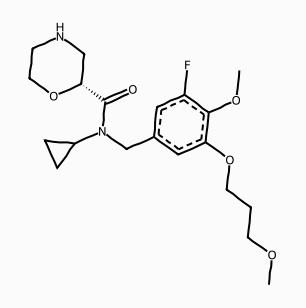 COCCCOc1cc(CN(C(=O)[C@H]2CNCCO2)C2CC2)cc(F)c1OC